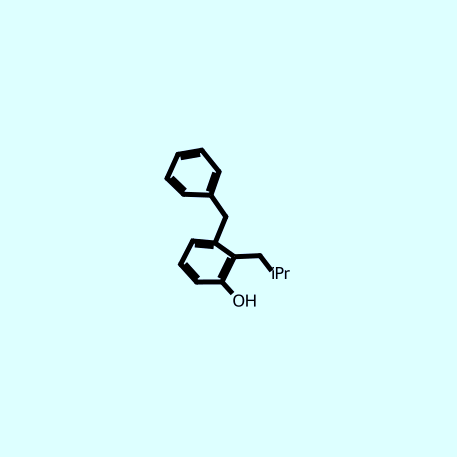 CC(C)Cc1c(O)cccc1Cc1ccccc1